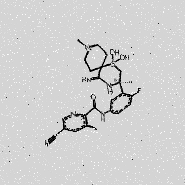 Cc1cc(C#N)cnc1C(=O)Nc1ccc(F)c([C@]2(C)CS(O)(O)C3(CCN(C)CC3)C(=N)N2)c1